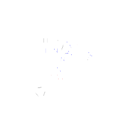 CN1CCC[C@H]1COc1nc(C(=O)O)c(N)c(N2CCN(C(=O)C(=O)OCc3ccccc3)CC2)n1